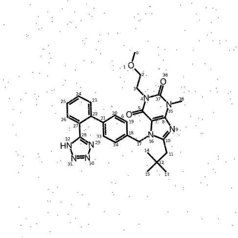 COCCn1c(=O)c2c(nc(CC(C)(C)C)n2Cc2ccc(-c3ccccc3-c3nnn[nH]3)cc2)n(C)c1=O